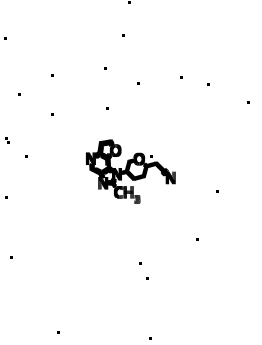 Cc1nc2cnc3ccoc3c2n1C1CCC(CC#N)OC1